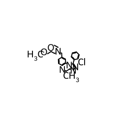 COCC1CN(Cc2ccc3nc(C)c4nnc(-c5ccccc5Cl)n4c3c2)CCO1